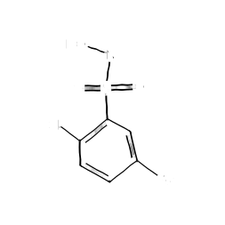 CC(=O)c1ccc(Cl)c(S(=O)(=O)NO)c1